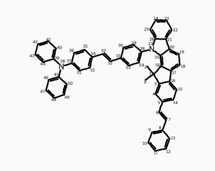 CC1(C)c2cc(/C=C/c3ccccc3)ccc2-c2ccc3c4ccccc4n(-c4ccc(/C=C/c5ccc(N(c6ccccc6)c6ccccc6)cc5)cc4)c3c21